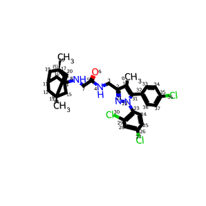 Cc1c(CNC(=O)CNC23CC4C[C@@](C)(C2)C[C@](C)(C4)C3)nn(-c2ccc(Cl)cc2Cl)c1-c1ccc(Cl)cc1